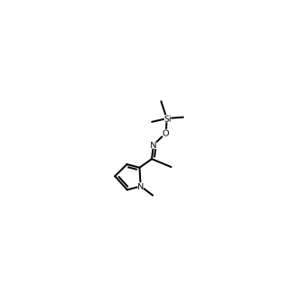 CC(=NO[Si](C)(C)C)c1cccn1C